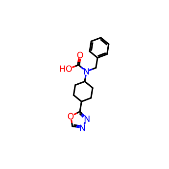 O=C(O)N(Cc1ccccc1)C1CCC(c2nnco2)CC1